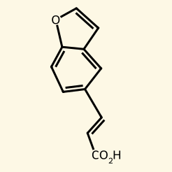 O=C(O)C=Cc1ccc2occc2c1